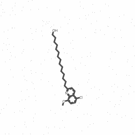 COc1ccc(Cl)c2ccc(CCCCCCCCCCCCCCCO)nc12